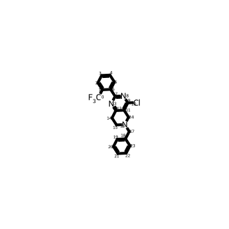 FC(F)(F)c1ccccc1-c1nc(Cl)c2c(n1)CCN(Cc1ccccc1)C2